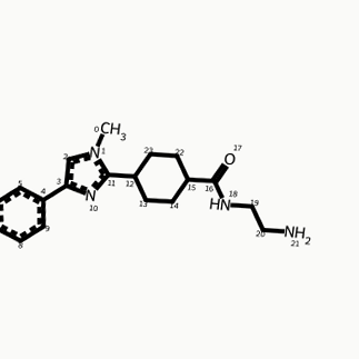 Cn1cc(-c2ccccc2)nc1C1CCC(C(=O)NCCN)CC1